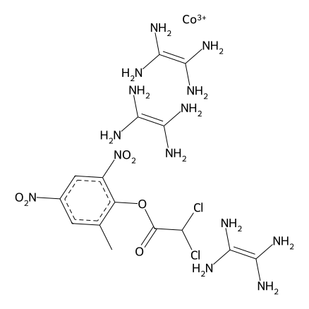 Cc1cc([N+](=O)[O-])cc([N+](=O)[O-])c1OC(=O)C(Cl)Cl.NC(N)=C(N)N.NC(N)=C(N)N.NC(N)=C(N)N.[Co+3]